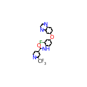 O=C(Nc1ccc(Oc2ccc3nccnc3c2)cc1F)c1ccnc(C(F)(F)F)c1